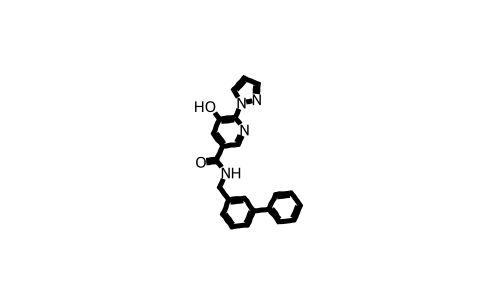 O=C(NCc1cccc(-c2ccccc2)c1)c1cnc(-n2cccn2)c(O)c1